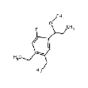 CC[C](OC)c1cc(CC)c(CC)cc1F